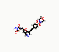 O=C1NC(=O)/C(=C/c2cc3cncc(C#Cc4ccc(S(=O)(=O)N5CCOCC5)cc4)c3o2)S1